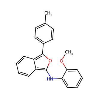 COc1ccccc1Nc1oc(-c2ccc(C)cc2)c2ccccc12